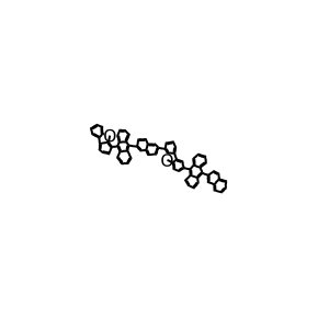 c1ccc2cc(-c3c4ccccc4c(-c4ccc5oc6c(-c7ccc8cc(-c9c%10ccccc%10c(-c%10cccc%11c%10oc%10ccccc%10%11)c%10ccccc9%10)ccc8c7)cccc6c5c4)c4ccccc34)ccc2c1